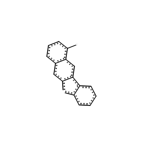 Brc1cccc2cc3sc4ccccc4c3cc12